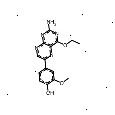 CCOc1nc(N)nc2ncc(-c3ccc(O)c(OC)c3)nc12